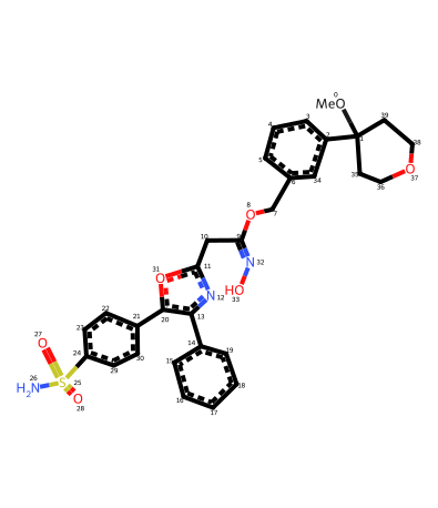 COC1(c2cccc(COC(Cc3nc(-c4ccccc4)c(-c4ccc(S(N)(=O)=O)cc4)o3)=NO)c2)CCOCC1